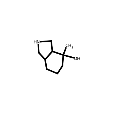 CC1(O)CCCC2CNCC21